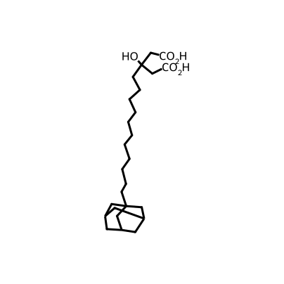 O=C(O)CC(O)(CCCCCCCCCCCC12CC3CC(CC(C3)C1)C2)CC(=O)O